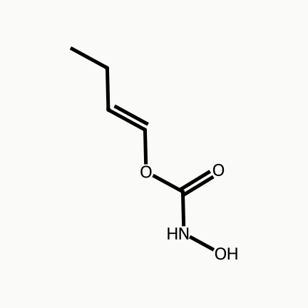 CCC=COC(=O)NO